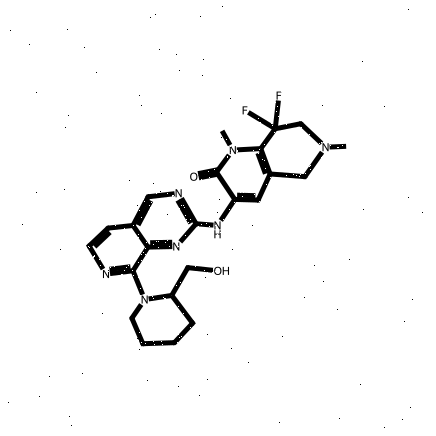 CN1Cc2cc(Nc3ncc4ccnc(N5CCCCC5CO)c4n3)c(=O)n(C)c2C(F)(F)C1